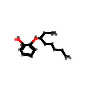 CCCCCC(CC)Oc1ccccc1O